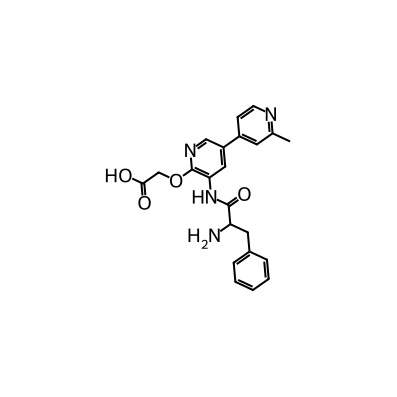 Cc1cc(-c2cnc(OCC(=O)O)c(NC(=O)C(N)Cc3ccccc3)c2)ccn1